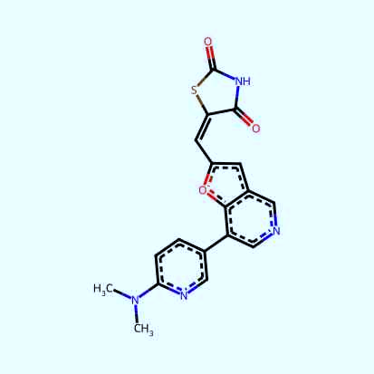 CN(C)c1ccc(-c2cncc3cc(/C=C4/SC(=O)NC4=O)oc23)cn1